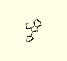 CC(C)Cn1c(-c2ccsc2)nc2ccccc21